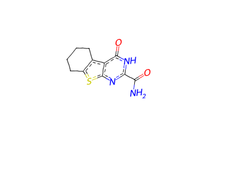 NC(=O)c1nc2sc3c(c2c(=O)[nH]1)CCCC3